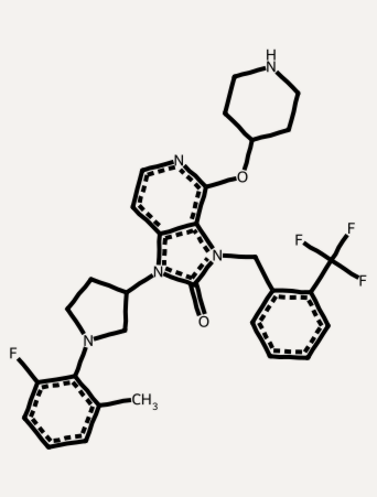 Cc1cccc(F)c1N1CCC(n2c(=O)n(Cc3ccccc3C(F)(F)F)c3c(OC4CCNCC4)nccc32)C1